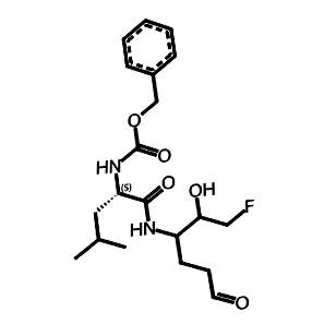 CC(C)C[C@H](NC(=O)OCc1ccccc1)C(=O)NC(CCC=O)C(O)CF